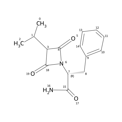 CC(C)C1C(=O)N([C@H](Cc2ccccc2)C(N)=O)C1=O